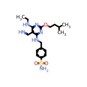 CCNc1nc(OCCC(C)C)nc(NCc2ccc(S(N)(=O)=O)cc2)c1C=N